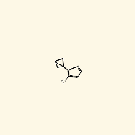 Nc1ccnn1C12CC(C1)C2